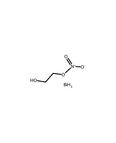 O=[N+]([O-])OCCO.[BiH3]